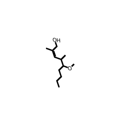 CCCCC(OC)C(C)C=C(C)CO